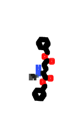 CC(C)N[C@@H](CCC(=O)OCc1ccccc1)C(=O)OCc1ccccc1